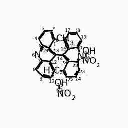 Cc1cccc2nc3ccccc3c(-c3c4ccccc4nc4cccc(C)c34)c12.O=[N+]([O-])O.O=[N+]([O-])O